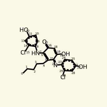 CCCCCC1=C(Nc2ccc(O)cc2Cl)C(=O)C=C(O)C1=Nc1ccc(O)cc1Cl